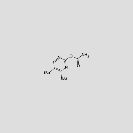 CC(C)(C)c1cnc(OC(N)=O)nc1C(C)(C)C